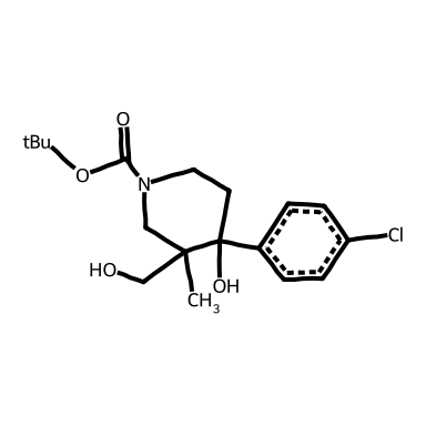 CC(C)(C)OC(=O)N1CCC(O)(c2ccc(Cl)cc2)C(C)(CO)C1